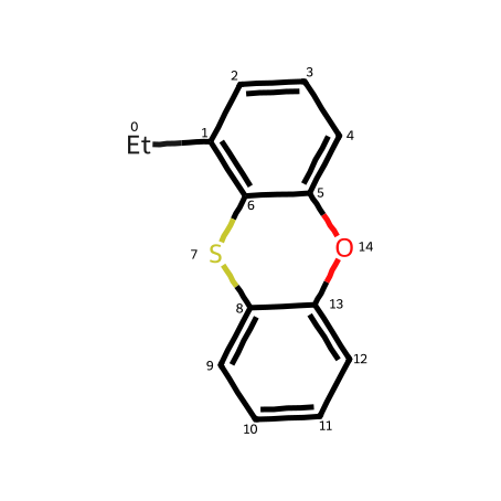 CCc1cccc2c1Sc1ccccc1O2